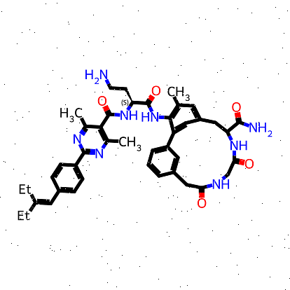 CCC(=Cc1ccc(-c2nc(C)c(C(=O)N[C@@H](CCN)C(=O)Nc3c(C)cc4cc3-c3cccc(c3)CC(=O)NCC(=O)NC(C(N)=O)C4)c(C)n2)cc1)CC